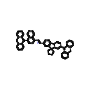 C1=CC2c3ccc(/C=C/c4ccc(N5c6ccccc6Cc6ccccc65)c5ccccc45)cc3C3(CCCC3)C2C=C1N1c2ccccc2Cc2ccccc21